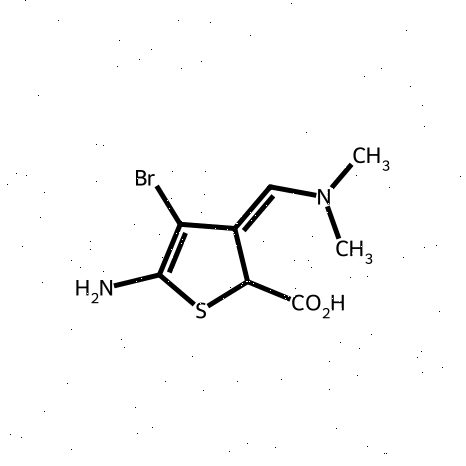 CN(C)C=C1C(Br)=C(N)SC1C(=O)O